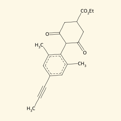 CC#Cc1cc(C)c(C2C(=O)CC(C(=O)OCC)CC2=O)c(C)c1